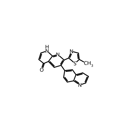 Cc1cnc(-c2nc3[nH]ccc(=O)c3cc2-c2ccc3ncccc3c2)s1